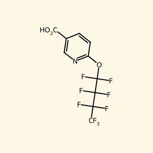 O=C(O)c1ccc(OC(F)(F)C(F)(F)C(F)(F)C(F)(F)F)nc1